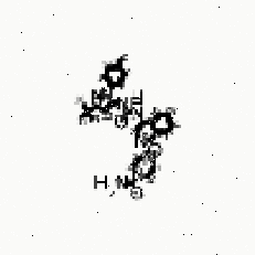 Cc1ccc(-n2nc(C(C)(C)C)cc2NC(=O)Nc2cnc(ON3CCN(C(N)=O)CC3)c3ccccc23)cc1